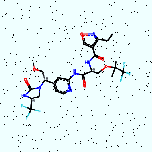 CCc1nocc1C(=O)N[C@@H](COC(C)(C)C(F)(F)F)C(=O)Nc1cc([C@@H](COC)N2C[C@@H](C(F)(F)F)NC2=O)ccn1